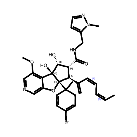 C=C(/C=C\C=C/C)[C@@H]1[C@@H](C(=O)NCc2ccnn2C)[C@@H](O)[C@@]2(O)c3c(OC)cncc3O[C@@]12C1(C)C=CC(Br)=CC1